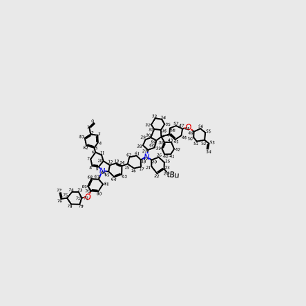 C=Cc1ccc(C2CC=C3C(C2)C2C=C(C4CCC(N(C5CC=C(C(C)(C)C)CC5)C5CCC6C7CCCCC7C(C7=CCCCC7)(C7=CCC(OC8CCC(C=C)CC8)CC7)C6C5)CC4)C=CC2N3C2C=CC(OC3CCC(C=C)CC3)=CC2)cc1